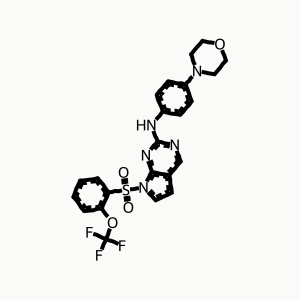 O=S(=O)(c1ccccc1OC(F)(F)F)n1ccc2cnc(Nc3ccc(N4CCOCC4)cc3)nc21